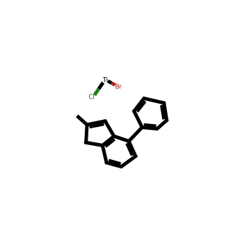 CC1=Cc2c(cccc2-c2ccccc2)[CH]1.[Cl][Ti][Br]